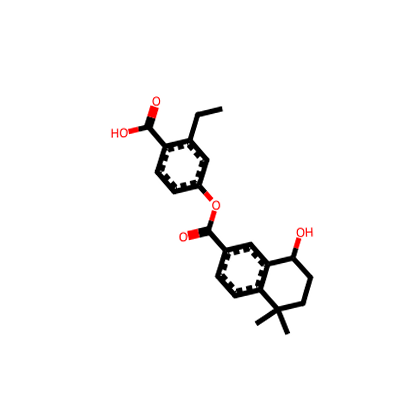 CCc1cc(OC(=O)c2ccc3c(c2)C(O)CCC3(C)C)ccc1C(=O)O